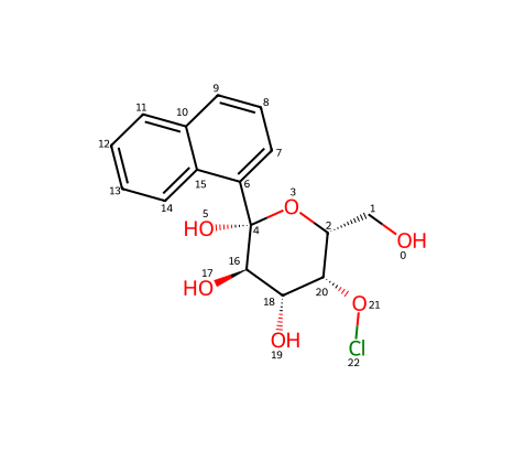 OC[C@H]1O[C@](O)(c2cccc3ccccc23)[C@H](O)[C@@H](O)[C@H]1OCl